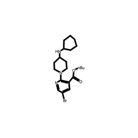 CCCCOC(=O)c1cc(Br)cnc1N1CCC(NC2CCCCC2)CC1